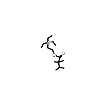 CC[N+](CC)(CC)CCOC(=O)C(C)(C)C(C)C